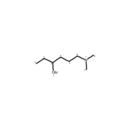 C[CH]C(O)CCCN(C)C